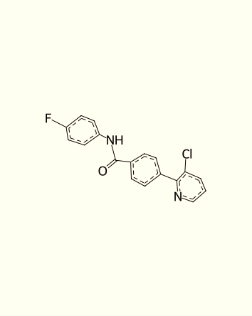 O=C(Nc1ccc(F)cc1)c1ccc(-c2ncccc2Cl)cc1